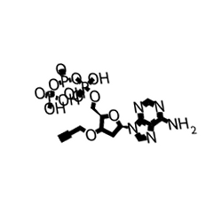 C#CCOC1C[C@H](n2cnc3c(N)ncnc32)O[C@@H]1COP(=O)(O)OP(=O)(O)OP(=O)(O)O